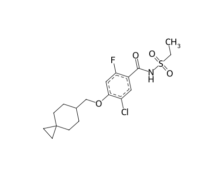 CCS(=O)(=O)NC(=O)c1cc(Cl)c(OCC2CCC3(CC2)CC3)cc1F